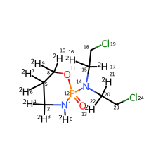 [2H]N1C([2H])([2H])C([2H])([2H])C([2H])([2H])OP1(=O)N(C([2H])([2H])CCl)C([2H])([2H])CCl